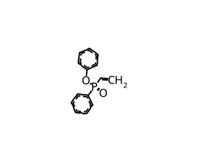 C=CP(=O)(Oc1ccccc1)c1ccccc1